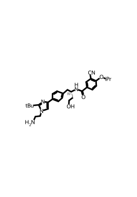 CC(C)Oc1ccc(C(=O)N[C@H](CCO)Cc2ccc(-c3cn(CCN)c(C(C)(C)C)n3)cc2)cc1C#N